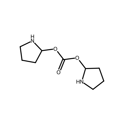 O=C(OC1CCCN1)OC1CCCN1